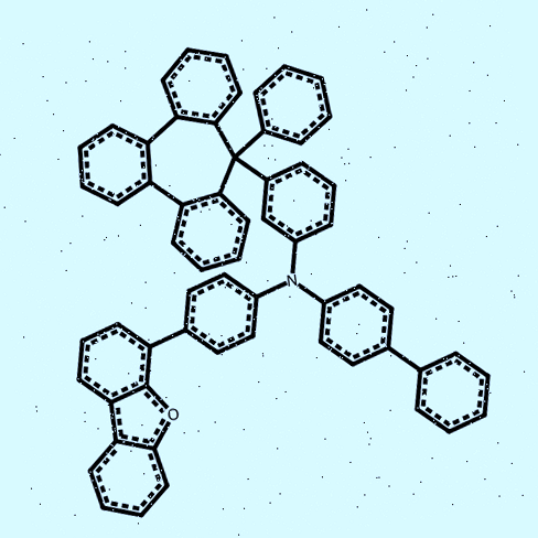 c1ccc(-c2ccc(N(c3ccc(-c4cccc5c4oc4ccccc45)cc3)c3cccc(C4(c5ccccc5)c5ccccc5-c5ccccc5-c5ccccc54)c3)cc2)cc1